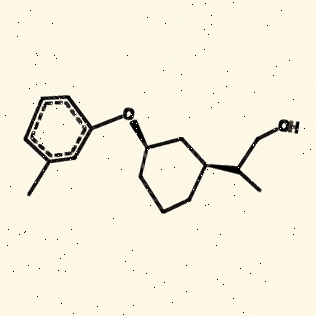 Cc1cccc(O[C@@H]2CCC[C@H](C(C)CO)C2)c1